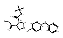 COC(=O)[C@@H]1C[C@@H](OC2=CCN(Cc3ccccc3)CC2)CN1C(=O)OC(C)(C)C